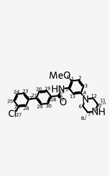 COc1ccc(N2C[C@@H](C)N[C@@H](C)C2)cc1NC(=O)c1ccc(-c2cccc(Cl)c2)cc1